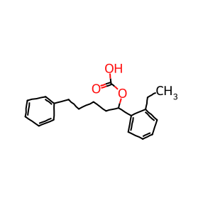 CCc1ccccc1C(CCCCc1ccccc1)OC(=O)O